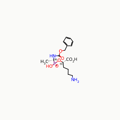 C[C@H](NC(=O)OCc1ccccc1)P(=O)(O)O[C@@H](CCCCN)C(=O)O